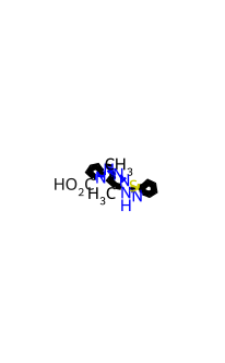 Cc1cc(N(C)c2cccc(C(=O)O)n2)nnc1Nc1nc2ccccc2s1